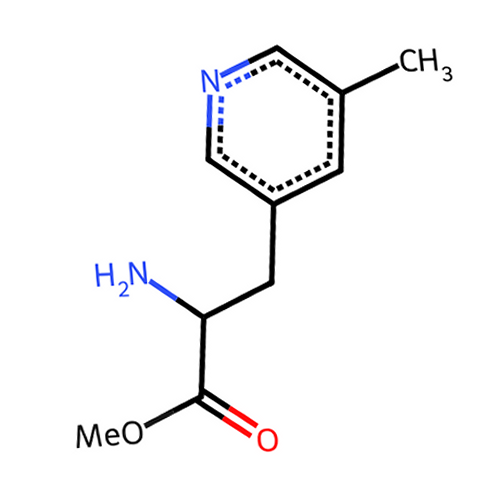 COC(=O)C(N)Cc1cncc(C)c1